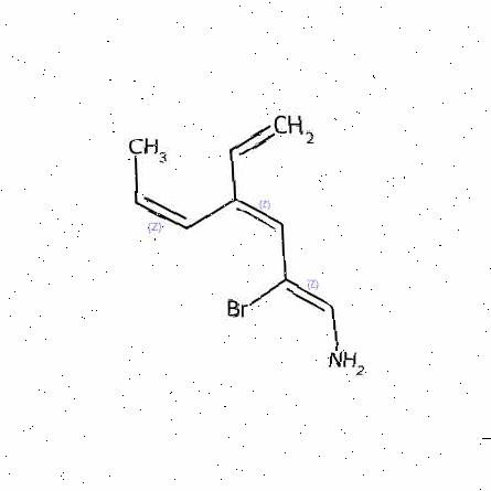 C=CC(/C=C\C)=C/C(Br)=C/N